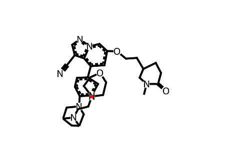 CN1CC(CCOc2cc(-c3ccc(N4CC5CC(C4)N5CCN4CCOCC4)nc3)c3c(C#N)cnn3c2)CCC1=O